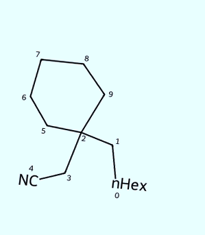 CCCCCCCC1(CC#N)CCCCC1